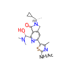 CC(=O)Nc1nc(C)c(-c2cc3c(c(C(O)N(C)C)n2)C(=O)N([C@@H](C)C2CC2)C3)s1